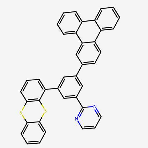 c1cnc(-c2cc(-c3ccc4c5ccccc5c5ccccc5c4c3)cc(-c3cccc4c3Sc3ccccc3S4)c2)nc1